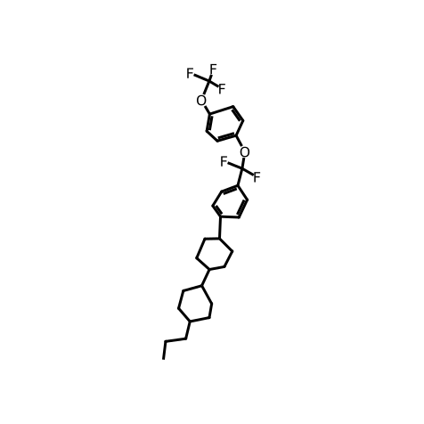 CCCC1CCC(C2CCC(c3ccc(C(F)(F)Oc4ccc(OC(F)(F)F)cc4)cc3)CC2)CC1